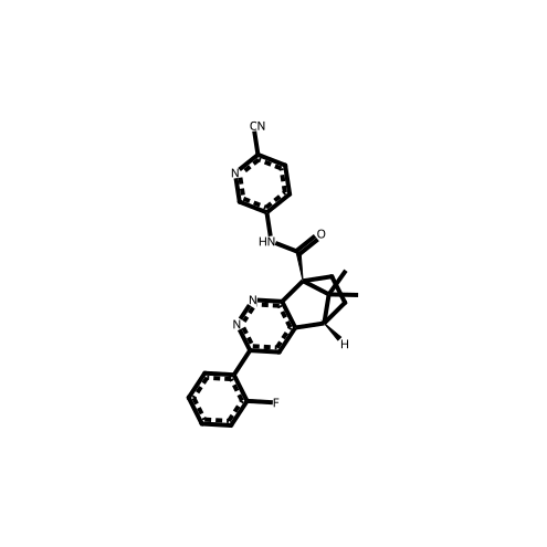 CC1(C)[C@@H]2CC[C@@]1(C(=O)Nc1ccc(C#N)nc1)c1nnc(-c3ccccc3F)cc12